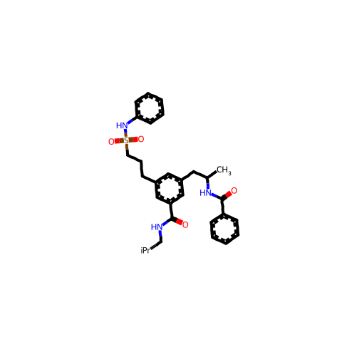 CC(C)CNC(=O)c1cc(CCCS(=O)(=O)Nc2ccccc2)cc(CC(C)NC(=O)c2ccccc2)c1